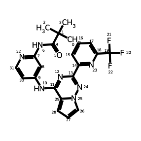 CC(C)(C)C(=O)Nc1cc(Nc2nc(-c3cccc(C(F)(F)F)n3)nn3cccc23)ccn1